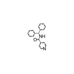 O=C(NC(c1ccccc1)c1ccccc1)c1ccncc1